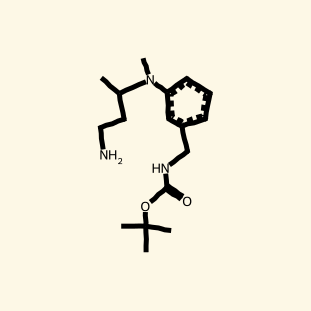 CC(CCN)N(C)c1cccc(CNC(=O)OC(C)(C)C)c1